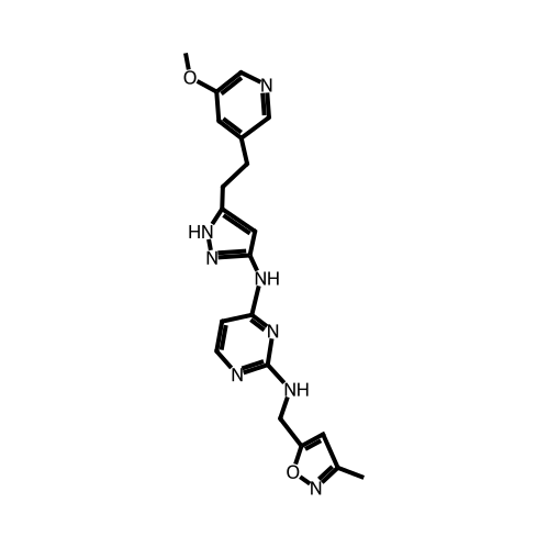 COc1cncc(CCc2cc(Nc3ccnc(NCc4cc(C)no4)n3)n[nH]2)c1